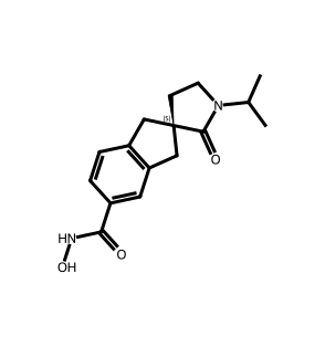 CC(C)N1CC[C@@]2(Cc3ccc(C(=O)NO)cc3C2)C1=O